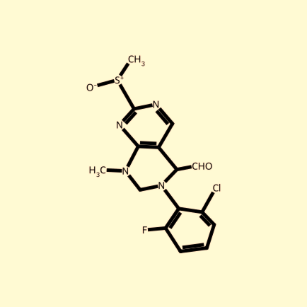 CN1CN(c2c(F)cccc2Cl)C(C=O)c2cnc([S+](C)[O-])nc21